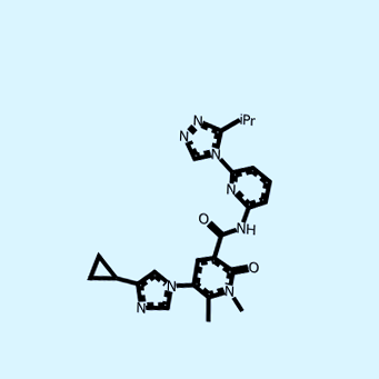 Cc1c(-n2cnc(C3CC3)c2)cc(C(=O)Nc2cccc(-n3cnnc3C(C)C)n2)c(=O)n1C